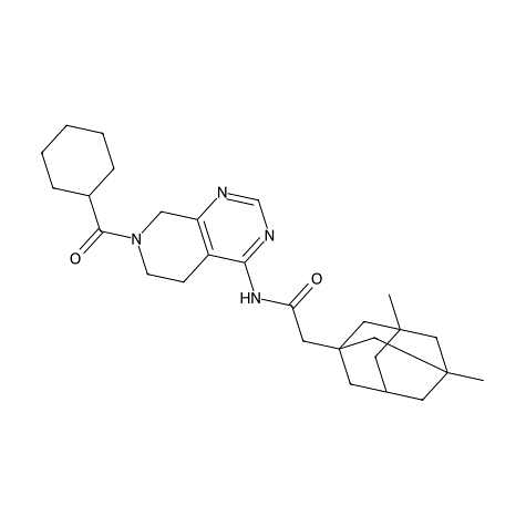 CC12CC3CC(C)(C1)CC(CC(=O)Nc1ncnc4c1CCN(C(=O)C1CCCCC1)C4)(C3)C2